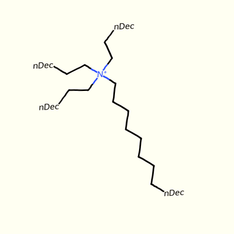 CCCCCCCCCCCCCCCCCC[N+](CCCCCCCCCCCC)(CCCCCCCCCCCC)CCCCCCCCCCCC